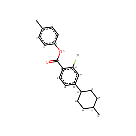 Cc1ccc(OC(=O)c2ccc(C3CCC(C)CC3)cc2F)cc1